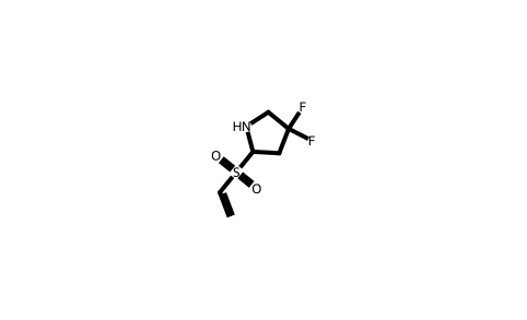 C=CS(=O)(=O)C1CC(F)(F)CN1